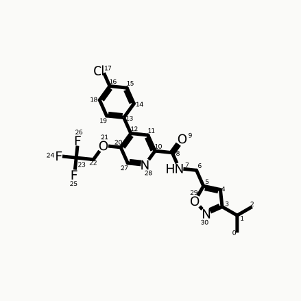 CC(C)c1cc(CNC(=O)c2cc(-c3ccc(Cl)cc3)c(OCC(F)(F)F)cn2)on1